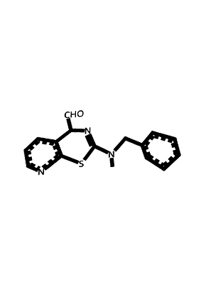 CN(Cc1ccccc1)C1=NC(C=O)c2cccnc2S1